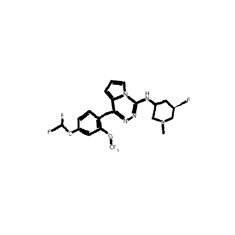 CN1CC(Nc2nnc(-c3ccc(OC(F)F)cc3OC(F)(F)F)c3cccn23)C[C@@H](F)C1